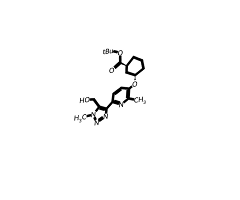 Cc1nc(-c2nnn(C)c2CO)ccc1O[C@H]1CCC[C@H](C(=O)OC(C)(C)C)C1